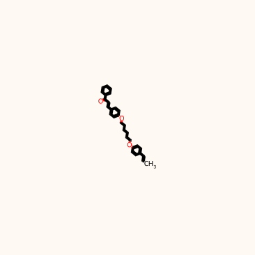 CC=Cc1ccc(OCCCCCCOc2ccc(/C=C/C(=O)c3ccccc3)cc2)cc1